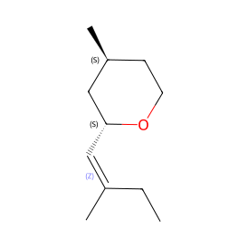 CC/C(C)=C\[C@@H]1C[C@@H](C)CCO1